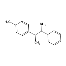 Cc1ccc(C(C)C(N)c2ccccc2)cc1